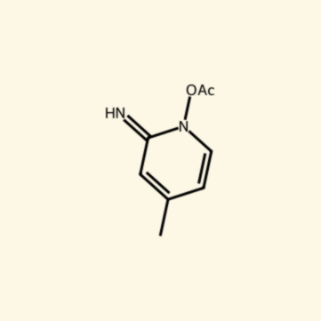 CC(=O)On1ccc(C)cc1=N